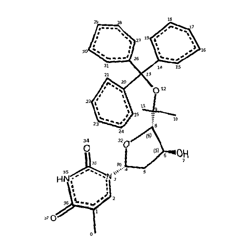 Cc1cn([C@H]2C[C@H](O)[C@@H](C(C)(C)OC(c3ccccc3)(c3ccccc3)c3ccccc3)O2)c(=O)[nH]c1=O